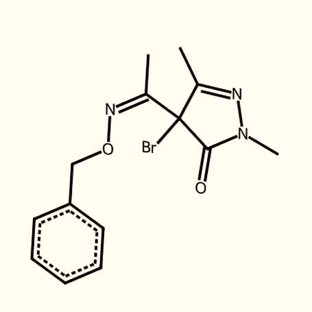 CC(=NOCc1ccccc1)C1(Br)C(=O)N(C)N=C1C